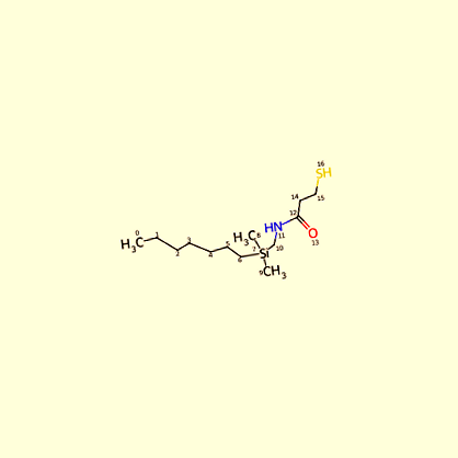 CCCCCCC[Si](C)(C)CNC(=O)CCS